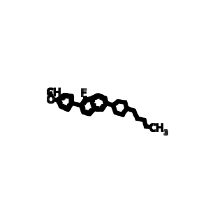 CCCCCC1CCC(c2ccc3c(F)c(-c4ccc(OC)cc4)ccc3c2)CC1